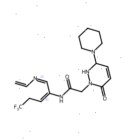 C=C/N=C\C(=C/CC(F)(F)F)NC(=O)CN1NC(N2CCCCC2)C=CC1=O